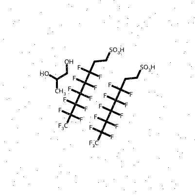 CC(O)CO.O=S(=O)(O)CCC(F)(F)C(F)(F)C(F)(F)C(F)(F)C(F)(F)C(F)(F)F.O=S(=O)(O)CCC(F)(F)C(F)(F)C(F)(F)C(F)(F)C(F)(F)C(F)(F)F